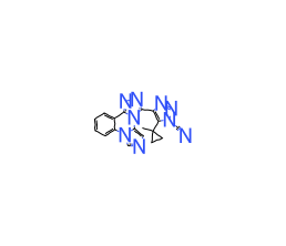 CC1(c2c(-c3nnc4c5ccccc5n5cncc5n34)nnn2C#N)CC1